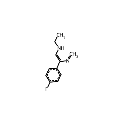 C=N/C(=C\NCC)c1ccc(F)cc1